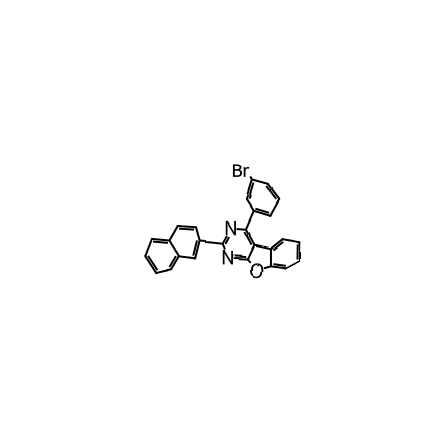 Brc1cccc(-c2nc(-c3ccc4ccccc4c3)nc3oc4ccccc4c23)c1